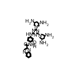 N[C@@H]1C[C@H](N)CN(c2nc(Nc3ccc(NC(=O)c4cnc5ccccc5n4)c(O)c3)nc(N3C[C@H](N)C[C@H](N)C3)n2)C1